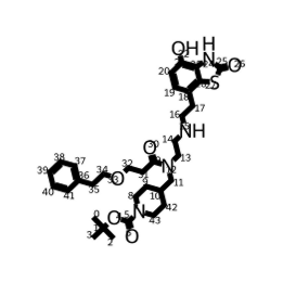 CC(C)(C)OC(=O)N1CCC(CN(CCNCCc2ccc(O)c3[nH]c(=O)sc23)C(=O)CCOCCc2ccccc2)CC1